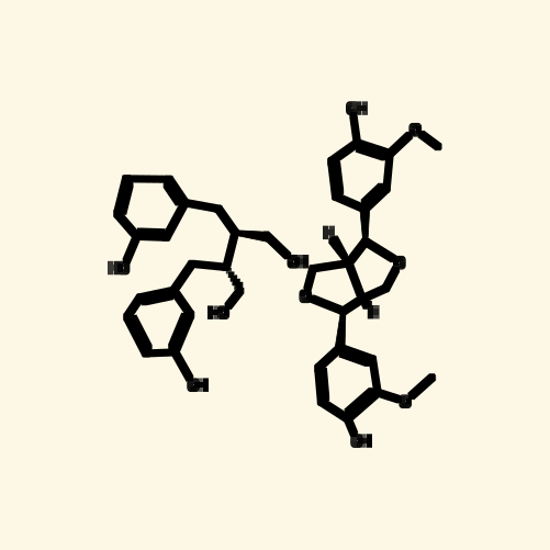 COc1cc([C@H]2OC[C@H]3[C@@H]2CO[C@@H]3c2ccc(O)c(OC)c2)ccc1O.OC[C@H](Cc1cccc(O)c1)[C@H](CO)Cc1cccc(O)c1